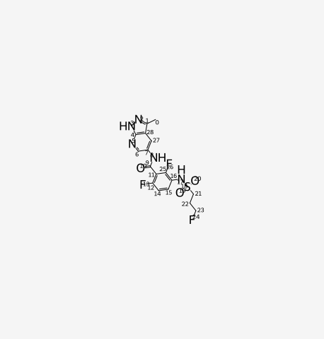 Cc1n[nH]c2ncc(NC(=O)c3c(F)ccc(NS(=O)(=O)CCCF)c3F)cc12